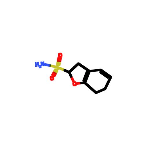 NS(=O)(=O)C1CC2=C(CCC=C2)O1